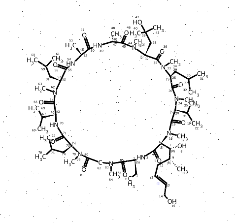 CC[C@@H]1NC(=O)[C@H]([C@H](O)[C@H](C)C/C=C/CO)N(C)C(=O)[C@H](C(C)C)N(C)C(=O)[C@H](CC(C)C)N(C)C(=O)[C@H](CC(C)(C)O)N(C)C(=O)[C@@H](C)NC(=O)[C@H](C)NC(=O)[C@H](CC(C)C)N(C)C(=O)[C@H](C(C)C)NC(=O)[C@H](CC(C)C)N(C)C(=O)CN(C)C1=O